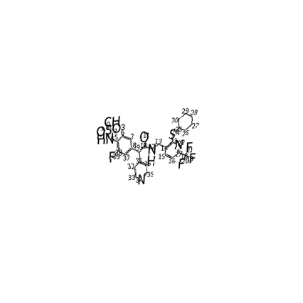 CS(=O)(=O)Nc1ccc(C(C(=O)NCc2ccc(C(F)(F)F)nc2SC2CCCCC2)c2ccncc2)cc1F